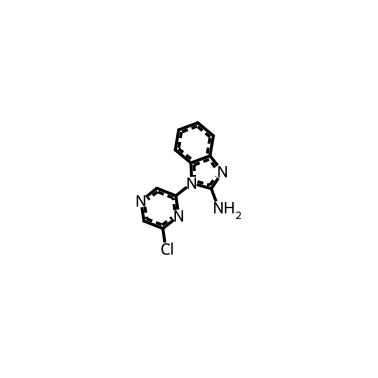 Nc1nc2ccccc2n1-c1cncc(Cl)n1